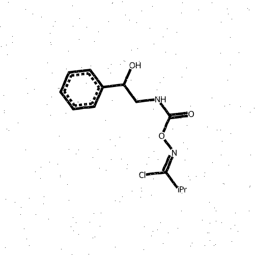 CC(C)C(Cl)=NOC(=O)NCC(O)c1ccccc1